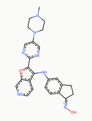 CN1CCN(c2cnc(-c3oc4cnccc4c3Nc3ccc4c(c3)CC/C4=N\O)nc2)CC1